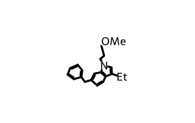 CCc1cn(CCCOC)c2cc(Cc3ccccc3)ccc12